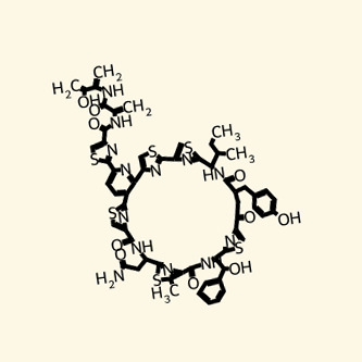 C=C(O)C(=C)NC(=O)C(=C)NC(=O)c1csc(-c2ccc3c(n2)-c2csc(n2)-c2csc(n2)C(C(C)CC)NC(=O)C(Cc2ccc(O)cc2)CC(=O)c2csc(n2)C(C(O)c2ccccc2)NC(=O)c2nc(sc2C)C(CC(N)=O)NC(=O)c2csc-3n2)n1